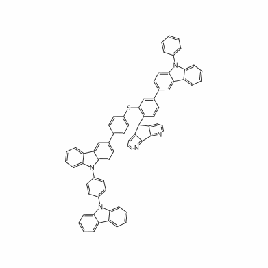 c1ccc(-n2c3ccccc3c3cc(-c4ccc5c(c4)Sc4ccc(-c6ccc7c(c6)c6ccccc6n7-c6ccc(-n7c8ccccc8c8ccccc87)cc6)cc4C54c5cccnc5-c5ncccc54)ccc32)cc1